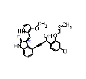 COc1cc[nH]c1/C=C1\C(=O)Nc2cccc(C#CC(O)c3ccc(Cl)cc3OCSC)c21